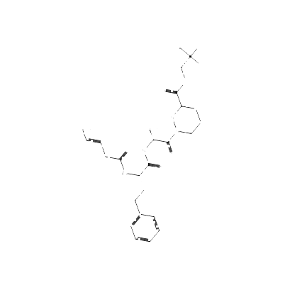 C/C=C/CC(=O)N[C@@H](CCc1ccccc1)C(=O)N[C@@H](C)C(=O)N1CCCC(C(=O)OCC(Cl)(Cl)Cl)N1